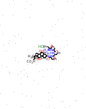 CC(C)CC(N)C(=O)NC(CC(C)C)C(=O)NC(CC(C)C)C(=O)NC(CC(C)C)C(=O)N[C@H]1CC[C@]2(C)C3C[C@H](O)[C@@]4(C)C(CC[C@@H]4[C@H](C)CCC(=O)O)C3[C@H](O)C[C@@H]2C1.Cl